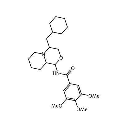 COc1cc(C(=O)NC2OCC(CC3CCCCC3)N3CCCCC23)cc(OC)c1OC